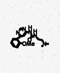 COc1ccccc1-c1cc(NC(=O)NCCN(C)C)ncn1